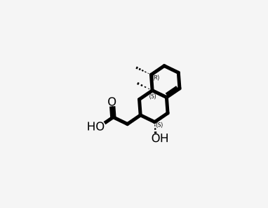 C[C@@H]1CCC=C2C[C@H](O)C(CC(=O)O)C[C@]21C